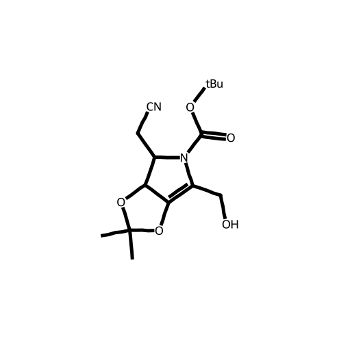 CC(C)(C)OC(=O)N1C(CO)=C2OC(C)(C)OC2C1CC#N